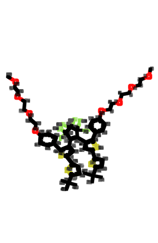 COCCOCCOCCOc1ccc(-c2sc(-c3ccc(C(C)(C)C)s3)cc2C2=C(c3cc(-c4ccc(C(C)(C)C)s4)sc3-c3ccc(OCCOCCOCCOC)cc3)C(F)(F)C(F)(F)C2(F)F)cc1